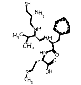 CSCC[C@H](NC(=O)[C@H](Cc1ccccc1)NC[C@H](NC[C@@H](N)CS)C(C)C)C(=O)O